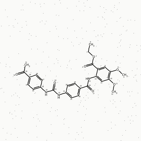 CCOC(=O)c1cc(OC)c(OC)cc1NC(=O)c1ccc(NC(=O)Nc2ccc(C(C)=O)cc2)cc1